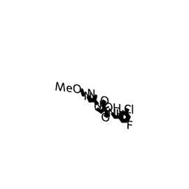 COCCn1cc(N2CC[C@@](O)(C(=O)NCc3cc(F)cc(Cl)c3)C2=O)cn1